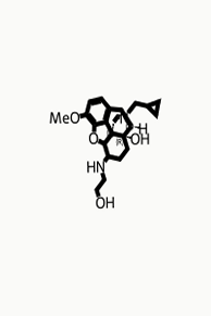 COc1ccc2c3c1OC1C(NCCO)CC[C@]4(O)[C@H](C2)N(CC2CC2)CC[C@@]314